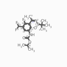 C/C(=N/[S@+]([O-])C(C)(C)C)c1cc(NC(=O)OC(C)C)cc(C(F)F)c1F